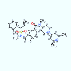 C=CC(c1ccccc1C(F)(F)F)S(=O)(=O)N(C)C1CCc2ccc(C(=O)N(C)C3CCN(c4cc(C)nc(C)c4)CC3)cc21